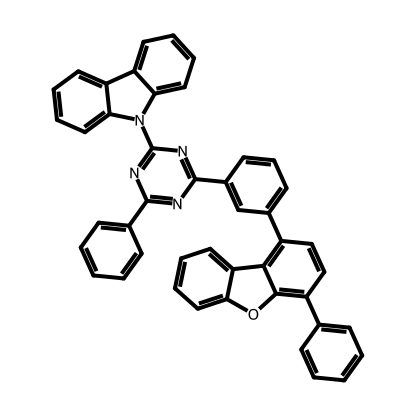 c1ccc(-c2nc(-c3cccc(-c4ccc(-c5ccccc5)c5oc6ccccc6c45)c3)nc(-n3c4ccccc4c4ccccc43)n2)cc1